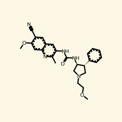 COCCN1C[C@@H](NC(=O)Nc2cc3cc(C#N)c(OC)cc3nc2C)[C@H](c2ccccc2)C1